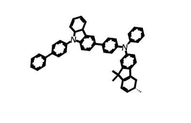 C[C@@H]1C=CC2=C(C1)c1ccc(N(c3ccccc3)c3ccc(-c4ccc5c(c4)C4C=CC=CC4N5c4ccc(-c5ccccc5)cc4)cc3)cc1C2(C)C